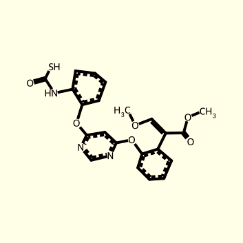 CO/C=C(/C(=O)OC)c1ccccc1Oc1cc(Oc2ccccc2NC(=O)S)ncn1